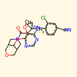 COc1c(Nc2ccc(C#N)cc2Cl)ncnc1OC1C2COCC1CN(C(=O)CC1(C)CC1)C2